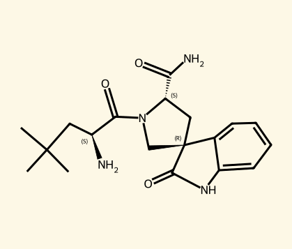 CC(C)(C)C[C@H](N)C(=O)N1C[C@]2(C[C@H]1C(N)=O)C(=O)Nc1ccccc12